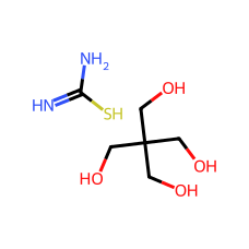 N=C(N)S.OCC(CO)(CO)CO